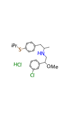 COC(CNC(C)Cc1ccc(SC(C)C)cc1)c1cccc(Cl)c1.Cl